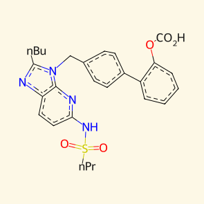 CCCCc1nc2ccc(NS(=O)(=O)CCC)nc2n1Cc1ccc(-c2ccccc2OC(=O)O)cc1